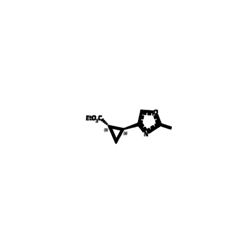 CCOC(=O)[C@H]1C[C@@H]1c1coc(C)n1